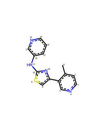 Cc1ccncc1-c1csc(Nc2cccnc2)n1